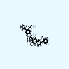 COc1cc(NC(=O)C(=O)NC(C)(C)CN2CCN(c3ccccc3F)CC2)ccc1-c1cnco1